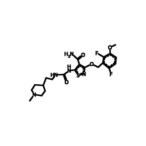 COc1ccc(F)c(COc2nsc(NC(=O)NCCC3CCN(C)CC3)c2C(N)=O)c1F